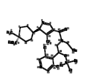 CCOC(=O)[C@]1(C)CC[C@@H](n2ncc(C(=O)N(CC(O[Si](CC)(CC)CC)c3c(Cl)cncc3Cl)CC(C)(C)C)c2C(F)(F)F)CC1